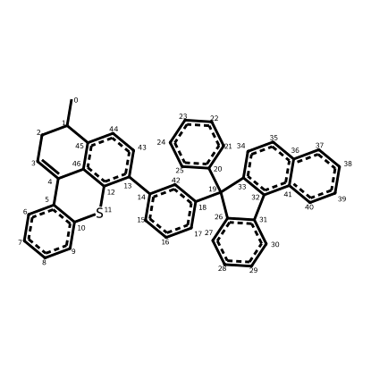 CC1CC=C2c3ccccc3Sc3c(-c4cccc(C5(c6ccccc6)c6ccccc6-c6c5ccc5ccccc65)c4)ccc1c32